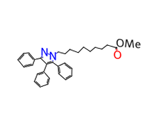 COC(=O)CCCCCCCCCn1nc(-c2ccccc2)c(-c2ccccc2)c1-c1ccccc1